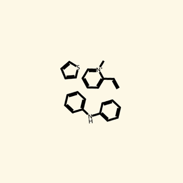 C=Cc1cccc[n+]1C.c1ccc(Nc2ccccc2)cc1.c1ccsc1